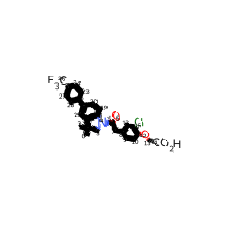 CC1(C)CN(C(=O)Cc2ccc(OCC(=O)O)c(Cl)c2)c2ccc(-c3ccc(C(F)(F)F)cc3)cc21